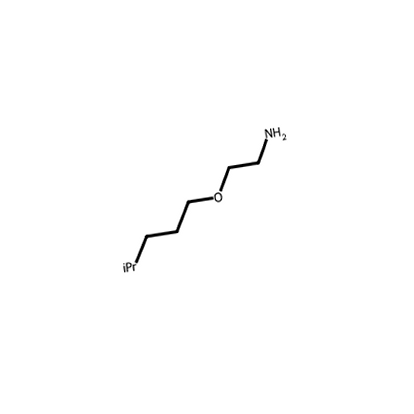 CC(C)CCCOCCN